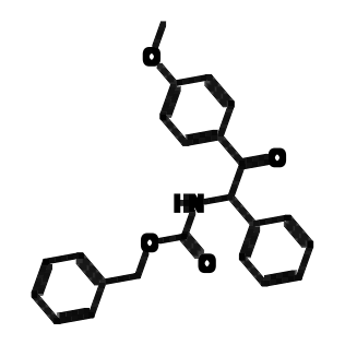 COc1ccc(C(=O)C(NC(=O)OCc2ccccc2)c2ccccc2)cc1